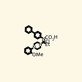 CCC(N1CCN(c2ccccc2OC)CC1)N(C(=O)O)c1ccc(-c2ccccc2)cc1.Cl